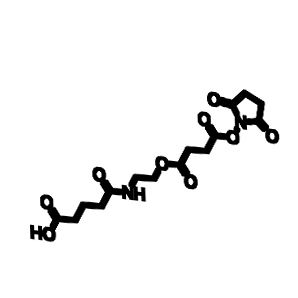 O=C(O)CCCC(=O)NCCOC(=O)CCC(=O)ON1C(=O)CCC1=O